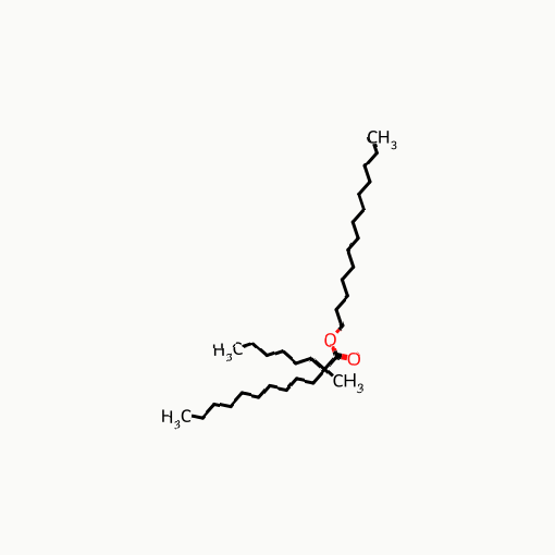 CCCCCCCCCCCCCCOC(=O)C(C)(CCCCCC)CCCCCCCCCC